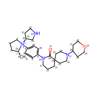 C[C@H]1CCC[N+]1(c1ccc(N2CCCC3(CCN(C4CCOCC4)CC3)C2=O)cc1)[C@H]1CCNC1